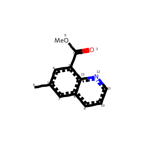 COC(=O)c1cc(C)cc2cccnc12